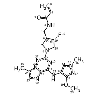 C=CC(=O)NC[C@@H]1CN(c2nc(Nc3cn(C)nc3OC)c3ncc(C)n3n2)C[C@H]1F